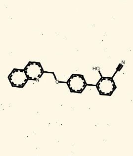 N#Cc1cccc(-c2ccc(OCc3ccc4ccccc4n3)cc2)c1O